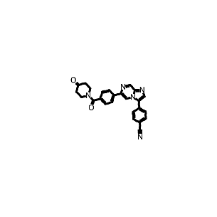 N#Cc1ccc(-c2cnc3cnc(-c4ccc(C(=O)N5CCC(=O)CC5)cc4)cn23)cc1